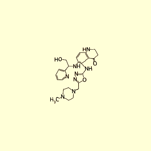 CN1CCN(Cc2nnc(Nc3c(NC(CO)c4ccccn4)ccc4c3C(=O)CCN4)o2)CC1